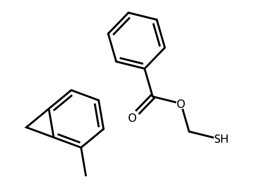 Cc1cccc2c1C2.O=C(OCS)c1ccccc1